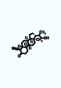 C[C@@H](CO)[C@H]1CC[C@H]2[C@@H]3CC[C@H]4C(=[N+]=[N-])C(=O)CC[C@]4(C)[C@H]3CC[C@]12C